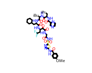 CCC(C)C(NC(=O)C(CC(C)C)NC(=O)c1cnccn1)C(=O)NC(CC1CCCCC1)C(=O)NC(CC(F)F)C(=O)C(=O)NCC(=O)NS(=O)(=O)c1nnc(NC(=O)c2ccc(OC)cc2)s1